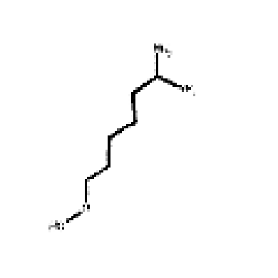 NC(N)CCCCCOO